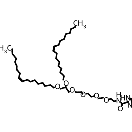 CCCCCCCC/C=C\CCCCCCCCOCC(COCCOCCOCCOCCNC(=O)c1ncc[nH]1)OCCCCCCCC/C=C\CCCCCCCC